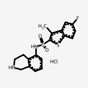 Cc1c(S(=O)(=O)Nc2cccc3c2CCNC3)sc2ccc(F)cc12.Cl